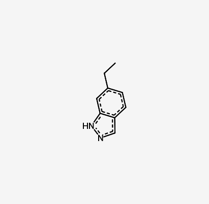 CCc1ccc2cn[nH]c2c1